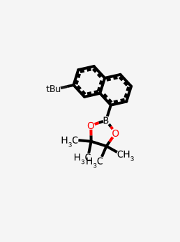 CC(C)(C)c1ccc2cccc(B3OC(C)(C)C(C)(C)O3)c2c1